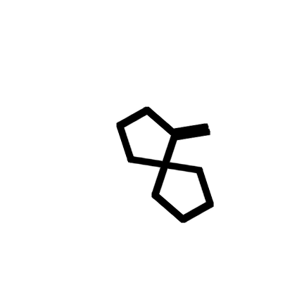 C=C1CCCC12CCCC2